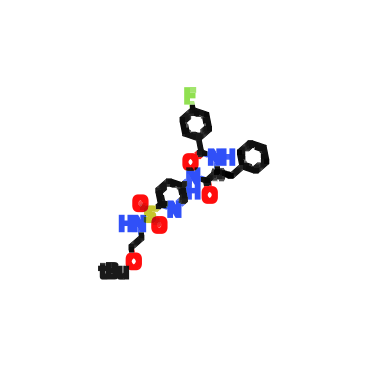 CC(C)(C)OCCNS(=O)(=O)c1ccc(NC(=O)[C@H](Cc2ccccc2)NC(=O)c2ccc(F)cc2)cn1